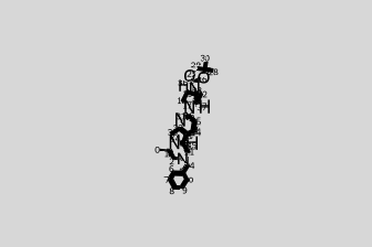 C[C@@H]1CN(Cc2ccccc2)C[C@@H]2c3ccc(N4C[C@@H]5C[C@H]4CN5C(=O)OC(C)(C)C)nc3CN12